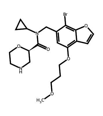 COCCCOc1cc(CN(C(=O)[C@H]2CNCCO2)C2CC2)c(Br)c2occc12